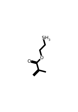 C=C(C)C(=O)OCC[SiH3]